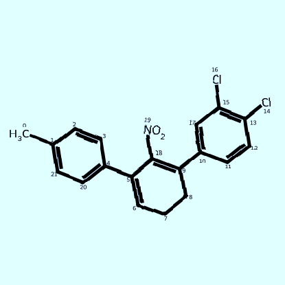 Cc1ccc(C2=CC[CH]C(c3ccc(Cl)c(Cl)c3)=C2[N+](=O)[O-])cc1